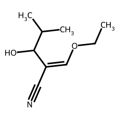 CCO/C=C(/C#N)C(O)C(C)C